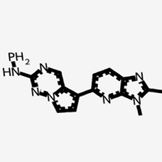 Cc1nc2ccc(-c3ccn4nc(NP)ncc34)nc2n1C